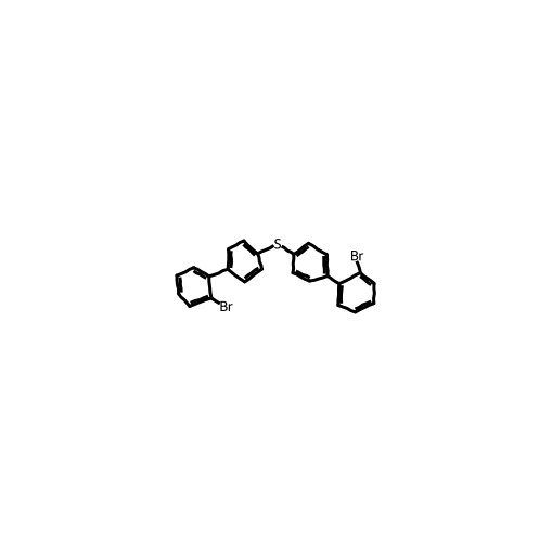 Brc1ccccc1-c1ccc(Sc2ccc(-c3ccccc3Br)cc2)cc1